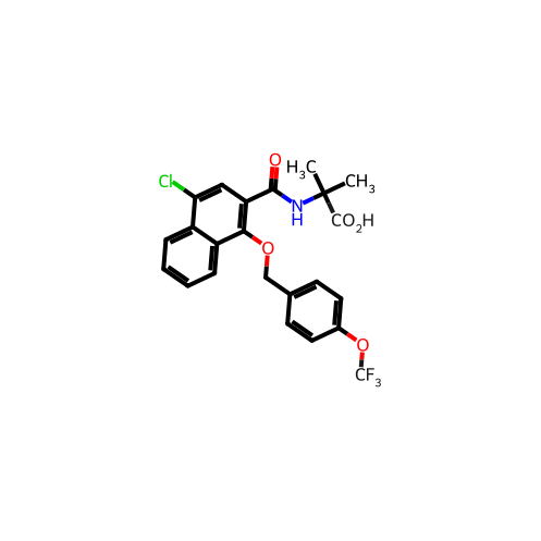 CC(C)(NC(=O)c1cc(Cl)c2ccccc2c1OCc1ccc(OC(F)(F)F)cc1)C(=O)O